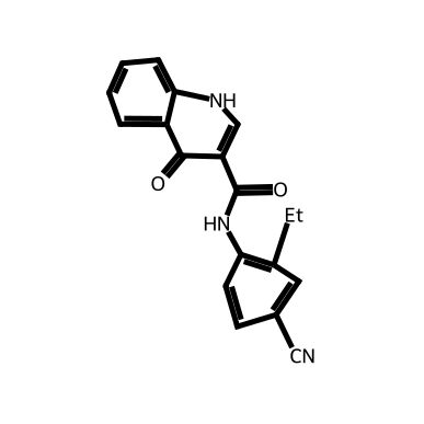 CCc1cc(C#N)ccc1NC(=O)c1c[nH]c2ccccc2c1=O